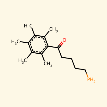 Cc1c(C)c(C)c(C(=O)CCCCP)c(C)c1C